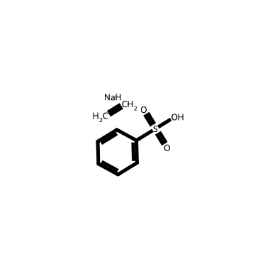 C=C.O=S(=O)(O)c1ccccc1.[NaH]